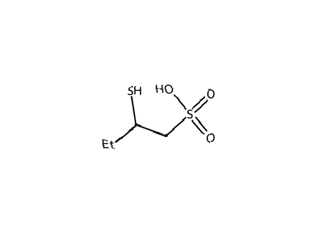 CCC(S)CS(=O)(=O)O